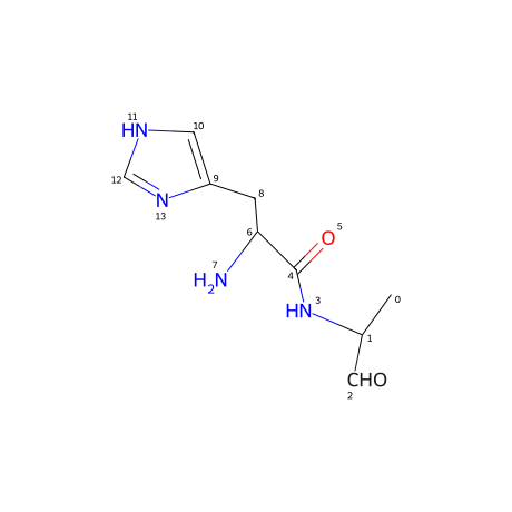 CC(C=O)NC(=O)C(N)Cc1c[nH]cn1